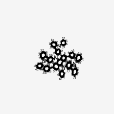 c1ccc(-c2ccc3c(N(c4ccc5c(c4)c4ccccc4n5-c4ccccc4)c4ccc5c(c4)c4ccccc4n5-c4ccccc4)c4cc(-c5ccccc5)ccc4c(N(c4ccccc4)c4ccc5c(c4)c4ccccc4n5-c4ccccc4)c3c2)cc1